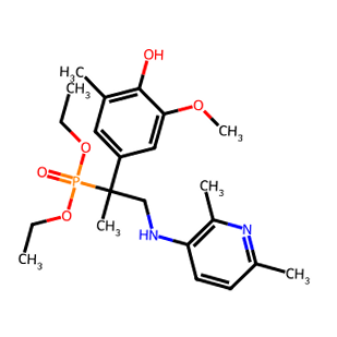 CCOP(=O)(OCC)C(C)(CNc1ccc(C)nc1C)c1cc(C)c(O)c(OC)c1